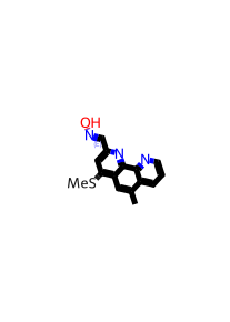 CSc1cc(/C=N/O)nc2c1cc(C)c1cccnc12